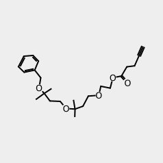 C#CCCC(=O)OCCOCCC(C)(C)OCCC(C)(C)OCc1ccccc1